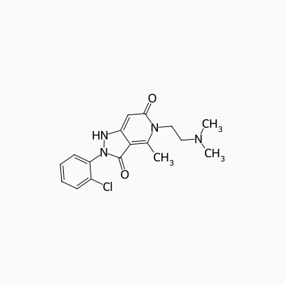 Cc1c2c(=O)n(-c3ccccc3Cl)[nH]c2cc(=O)n1CCN(C)C